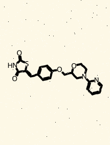 O=C1NC(=O)C(=Cc2ccc(OCC3CN(c4ccccn4)CCO3)cc2)S1